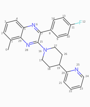 Cc1cccc2nc(-c3ccc(F)cc3)c(N3CCC(c4ccccn4)CC3)nc12